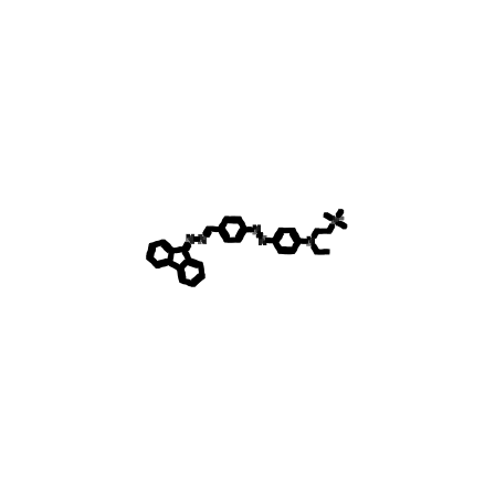 CCN(CC[N+](C)(C)C)c1ccc(N=Nc2ccc(C=NN=C3c4ccccc4-c4ccccc43)cc2)cc1